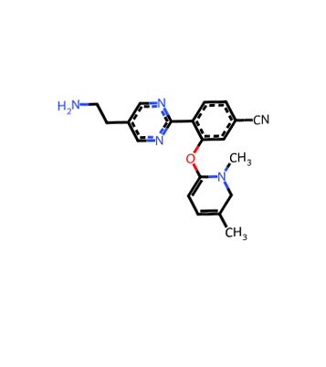 CC1=CC=C(Oc2cc(C#N)ccc2-c2ncc(CCN)cn2)N(C)C1